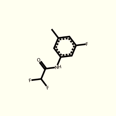 Cc1cc(F)cc(NC(=O)C(F)F)c1